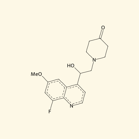 COc1cc(F)c2nccc(C(O)CN3CCC(=O)CC3)c2c1